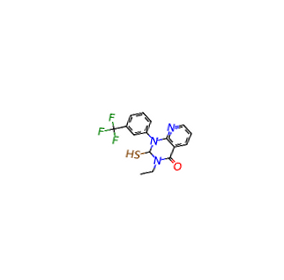 CCN1C(=O)c2cccnc2N(c2cccc(C(F)(F)F)c2)C1S